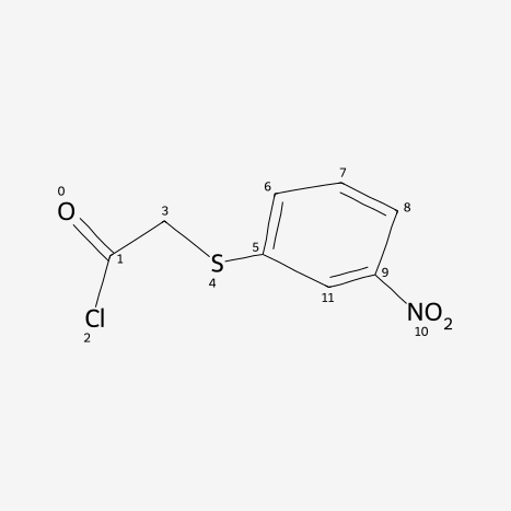 O=C(Cl)CSc1cccc([N+](=O)[O-])c1